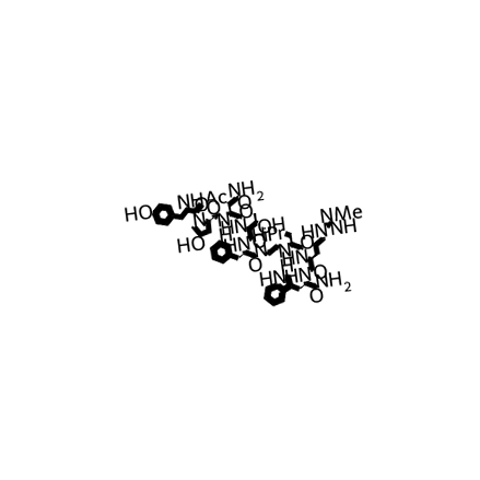 CNC(=N)NCCC[C@H](NC(=O)[C@H](CC(C)C)NCCNC(=O)[C@H](Cc1ccccc1)NC(=O)[C@@H](NC(=O)[C@H](CC(N)=O)NC(=O)[C@@H]1C[C@@H](O)CN1C(=O)[C@@H](Cc1ccc(O)cc1)NC(C)=O)[C@@H](C)O)C(=O)N[C@@H](Cc1c[nH]c2ccccc12)C(N)=O